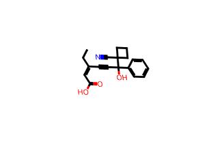 CC/C(C#CC(O)(c1ccccc1)C1(C#N)CCC1)=C/C(=O)O